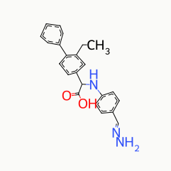 CCc1cc(C(Nc2ccc(C=NN)cc2)C(=O)O)ccc1-c1ccccc1